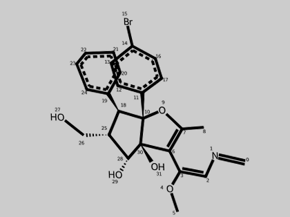 C=N/C=C(/OC)C1=C(C)O[C@@]2(c3ccc(Br)cc3)[C@H](c3ccccc3)[C@@H](CO)[C@@H](O)[C@@]12O